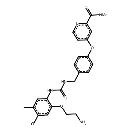 CNC(=O)c1cc(Oc2ccc(CNC(=O)Nc3cc(C)c(Cl)cc3OCCN)cc2)ccn1